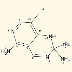 CC(C)(C)C1(N)N=Cc2c(N)ncc(I)c2N1